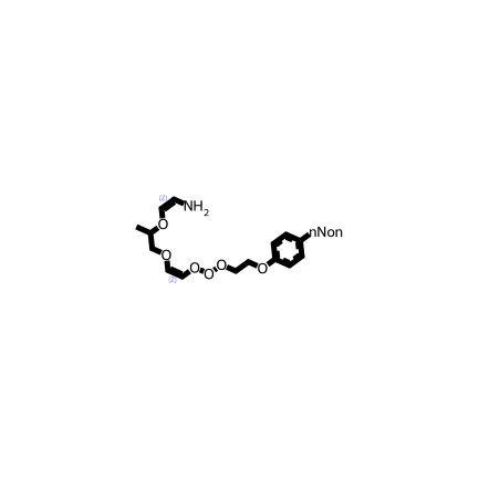 CCCCCCCCCc1ccc(OCCOOO/C=C\OCC(C)O/C=C\N)cc1